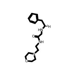 [2H][C@@H](Cc1ccccc1)NCC(=O)NCCN1CCOCC1